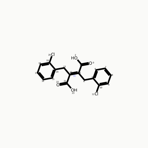 O=C(O)/C(Cc1ccccc1Cl)=C(\Cc1ccccc1Cl)C(=O)O